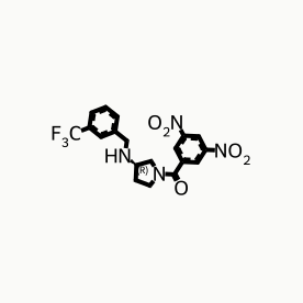 O=C(c1cc([N+](=O)[O-])cc([N+](=O)[O-])c1)N1CC[C@@H](NCc2cccc(C(F)(F)F)c2)C1